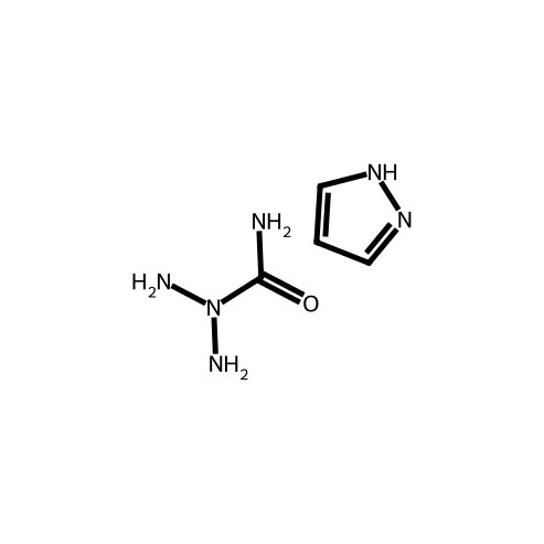 NC(=O)N(N)N.c1cn[nH]c1